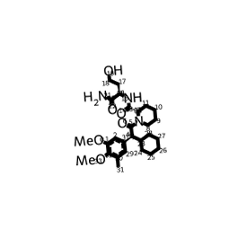 COc1cc([C@@H](C(=O)N2CCCC[C@H]2C(=O)N[C@H](CCO)C(N)=O)C2CCCCC2)cc(C)c1OC